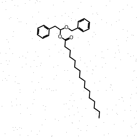 CCCCCCCCCCCCCCCC(=O)OC(Cc1ccccc1)OCc1ccccc1